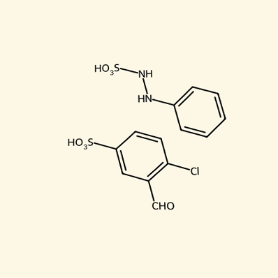 O=Cc1cc(S(=O)(=O)O)ccc1Cl.O=S(=O)(O)NNc1ccccc1